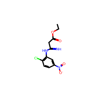 CCOC(=O)CC(=N)Nc1cc([N+](=O)[O-])ccc1Cl